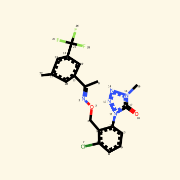 CC(=NOCc1c(Cl)cccc1-n1nnn(C)c1=O)c1cc(C)cc(C(F)(F)F)c1